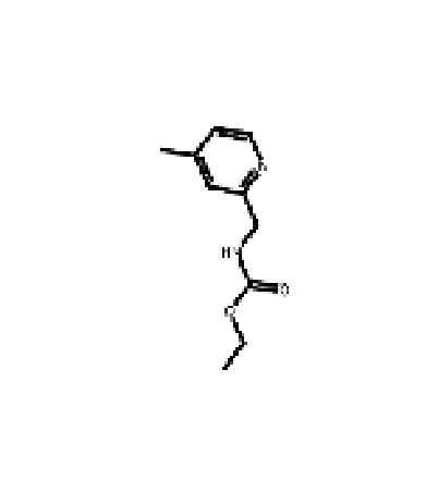 CCOC(=O)NCc1cc(C)ccn1